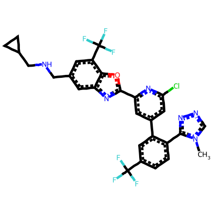 Cn1cnnc1-c1ccc(C(F)(F)F)cc1-c1cc(Cl)nc(-c2nc3cc(CNCC4CC4)cc(C(F)(F)F)c3o2)c1